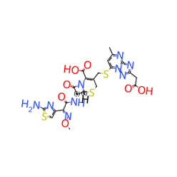 CON=C(C(=O)N[C@@H]1C(=O)N2C(C(=O)O)=C(CSc3cc(C)nc4nc(CC(=O)O)nn34)CS[C@H]12)c1csc(N)n1